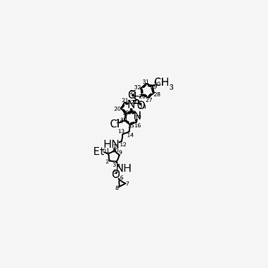 CCC1CC(NOC2CC2)CC1NCCCc1cnc2c(ccn2S(=O)(=O)c2ccc(C)cc2)c1Cl